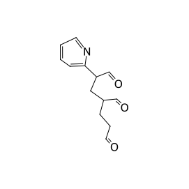 O=CCCC(C=O)CC(C=O)c1ccccn1